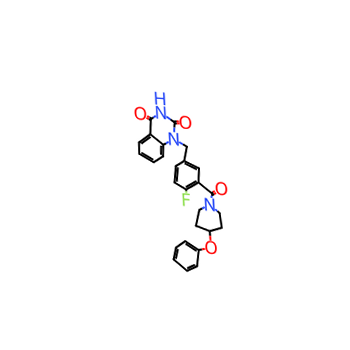 O=C(c1cc(Cn2c(=O)[nH]c(=O)c3ccccc32)ccc1F)N1CCC(Oc2ccccc2)CC1